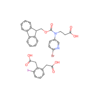 O=C(O)CCN(C(=O)OCC1c2ccccc2-c2ccccc21)c1ccc(Br)nc1.O=C(O)Cc1cccc(I)c1CC(=O)O